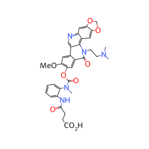 COc1cc2c(cc1OC(=O)N(C)c1ccccc1NC(=O)CCC(=O)O)c(=O)n(CCN(C)C)c1c3cc4c(cc3ncc21)OCO4